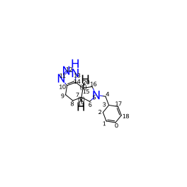 C1=CCC(CN2C[C@@H]3CCc4nn[nH]c4[C@@H]3C2)C=C1